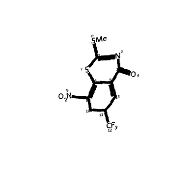 CSc1nc(=O)c2c(s1)=C([N+](=O)[O-])CC(C(F)(F)F)C=2